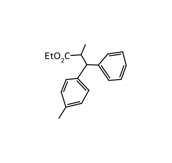 CCOC(=O)C(C)C(c1ccccc1)c1ccc(C)cc1